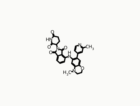 Cc1cc(-c2cc3c(cc2Nc2cccc4c2C(=O)N(C2CCC(=O)NC2=O)C4=O)N(C)CCO3)ccn1